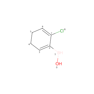 OBC1=CCCC=C1Cl